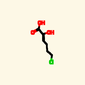 O=C(O)C(O)=CCCCCl